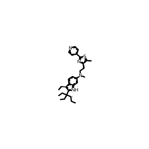 CC[C]C(CC)(CC)c1[nH]c2cc(N(C)CCc3nc(-c4ccncc4)sc3C)ccc2c1CC